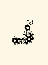 COC(=O)[C@H]1CC[C@H](CNC(=O)c2c(C(F)(F)F)c(Br)cc3ccn(Cc4cc5ccccc5cn4)c23)CC1